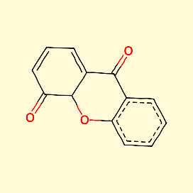 O=C1C2=CC=CC(=O)C2Oc2ccccc21